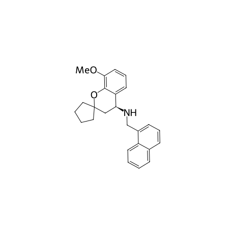 COc1cccc2c1OC1(CCCC1)C[C@@H]2NCc1cccc2ccccc12